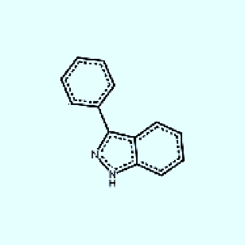 [c]1ccccc1-c1n[nH]c2ccccc12